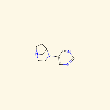 c1ncc(N2CCN3CCC2C3)cn1